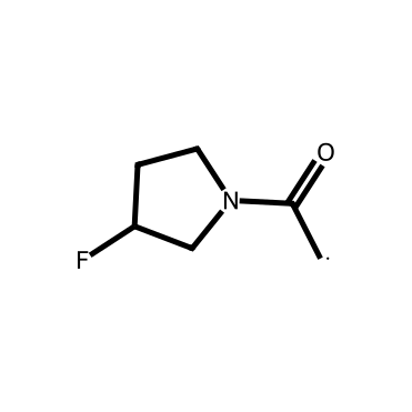 [CH2]C(=O)N1CCC(F)C1